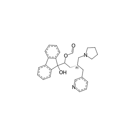 O=COC(C[C@@H](Cc1cccnc1)CN1CCCC1)C1(O)c2ccccc2-c2ccccc21